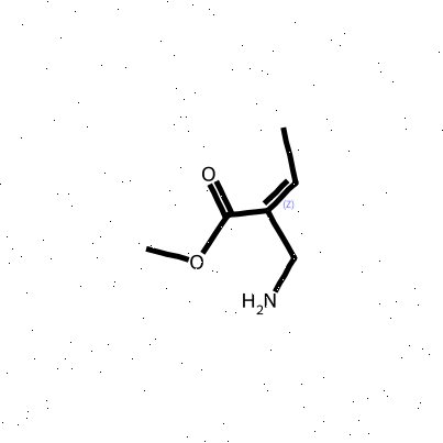 C/C=C(/CN)C(=O)OC